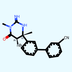 CCCC[C@H]1C(=O)N(C)C(=N)N[C@]1(C)c1cccc(-c2cccc(C#N)c2)c1